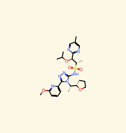 COc1cccc(-c2nnc(NS(=O)(=O)[C@@H](C)[C@@H](OC(C)C)c3ncc(C)cn3)n2[C@@H](C)[C@@H]2CCCO2)n1